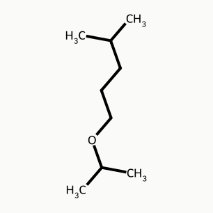 C[C](C)CCCOC(C)C